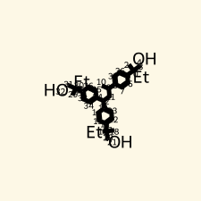 CCC(C)(CO)c1ccc(C(C)CC(c2ccc(C(C)(CC)CO)cc2)c2ccc(C(C)(CC)CO)cc2)cc1